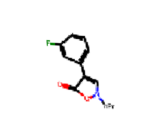 CCCn1cc(-c2cccc(F)c2)c(=O)o1